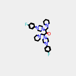 O=C(C(CN1CCCCC1)N1CCN(c2ccc(F)cc2)CC1)C(CN1CCCCC1)N1CCN(c2ccc(F)cc2)CC1